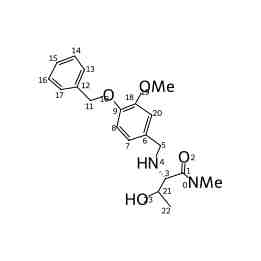 CNC(=O)[C@@H](NCc1ccc(OCc2ccccc2)c(OC)c1)C(C)O